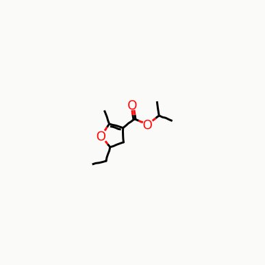 CCC1CC(C(=O)OC(C)C)=C(C)O1